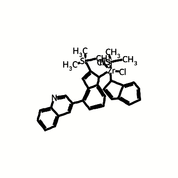 C[SiH](C)[Zr]([Cl])([Cl])([CH]1C=Cc2ccccc21)[CH]1C([Si](C)(C)C)=Cc2c(-c3cnc4ccccc4c3)cccc21